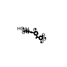 C=C(c1ccc(OC)c(C#CC(C)(C)C(C)(C)C(=O)NO)c1)c1cc(OC)c(OC)c(OC)c1